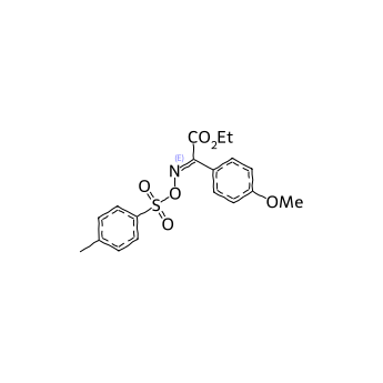 CCOC(=O)/C(=N/OS(=O)(=O)c1ccc(C)cc1)c1ccc(OC)cc1